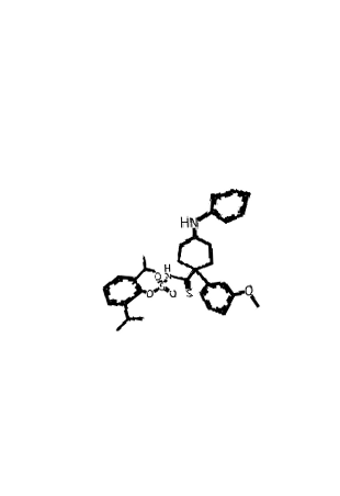 COc1cccc(C2(C(=S)NS(=O)(=O)Oc3c(C(C)C)cccc3C(C)C)CCC(Nc3ccccc3)CC2)c1